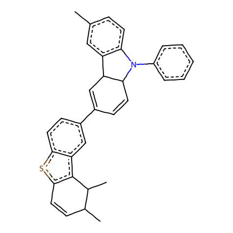 Cc1ccc2c(c1)C1C=C(c3ccc4sc5c(c4c3)C(C)C(C)C=C5)C=CC1N2c1ccccc1